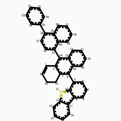 C1=Cc2c(c(-c3cccc4c3sc3ccccc34)c3ccccc3c2-c2ccc(-c3ccccc3)c3ccccc23)CC1